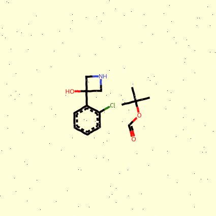 CC(C)(C)OC=O.OC1(c2ccccc2Cl)CNC1